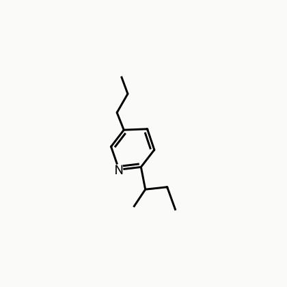 CCCc1ccc(C(C)CC)nc1